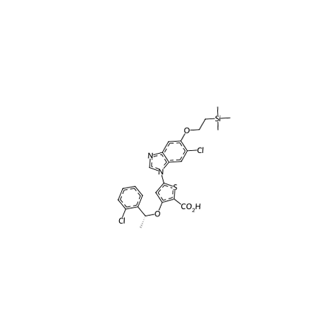 C[C@@H](Oc1cc(-n2cnc3cc(OCC[Si](C)(C)C)c(Cl)cc32)sc1C(=O)O)c1ccccc1Cl